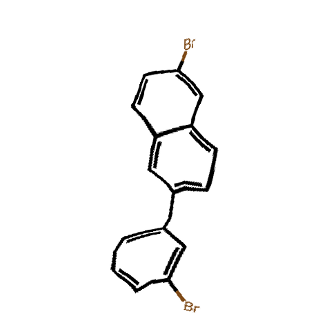 Brc1cccc(-c2ccc3cc(Br)ccc3c2)c1